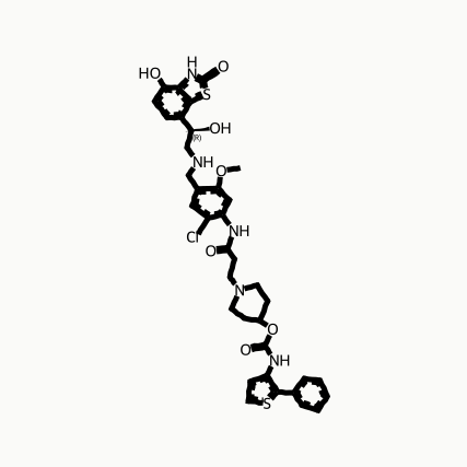 COc1cc(NC(=O)CCN2CCC(OC(=O)Nc3ccsc3-c3ccccc3)CC2)c(Cl)cc1CNC[C@H](O)c1ccc(O)c2[nH]c(=O)sc12